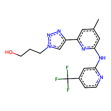 Cc1cc(Nc2cc(C(F)(F)F)ccn2)nc(-c2cn(CCCO)nn2)c1